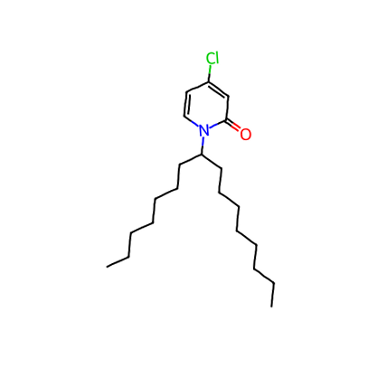 CCCCCCCCC(CCCCCCC)n1ccc(Cl)cc1=O